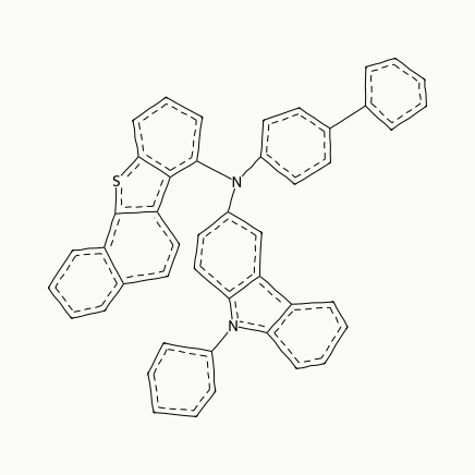 c1ccc(-c2ccc(N(c3ccc4c(c3)c3ccccc3n4-c3ccccc3)c3cccc4sc5c6ccccc6ccc5c34)cc2)cc1